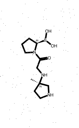 C[C@@]1(NCC(=O)N2CCC[C@H]2B(O)O)CCNC1